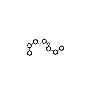 Ic1cc(Oc2cccc(-c3cccc(-c4ccccc4)c3)c2)cc(Oc2cccc(-c3cccc(-c4ccccc4)c3)c2)c1